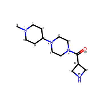 CN1CCC(N2CCN(C(=O)C3CNC3)CC2)CC1